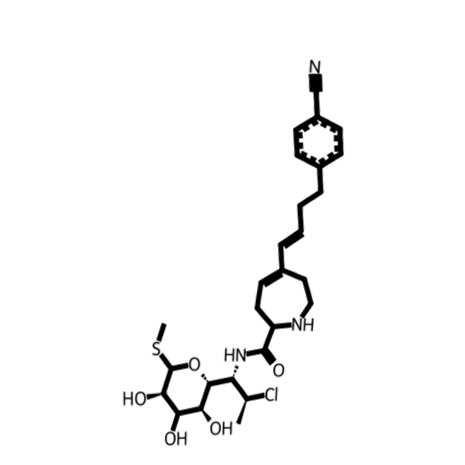 CSC1O[C@H]([C@H](NC(=O)C2CC=C(/C=C/CCc3ccc(C#N)cc3)CCN2)[C@H](C)Cl)[C@@H](O)C(O)[C@H]1O